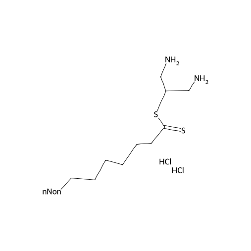 CCCCCCCCCCCCCCCC(=S)SC(CN)CN.Cl.Cl